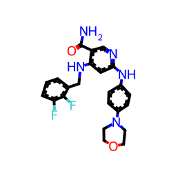 NC(=O)c1cnc(Nc2ccc(N3CCOCC3)cc2)cc1NCc1cccc(F)c1F